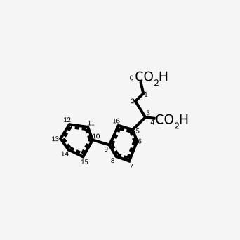 O=C(O)CCC(C(=O)O)c1cccc(-c2ccccc2)c1